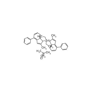 C[CH2][Zr+2]([CH2]C)([CH]1C(C)=Cc2c(-c3ccccc3)cccc21)[CH]1C(C)=Cc2c(-c3ccccc3)cccc21.C[SiH2]C.[Cl-].[Cl-]